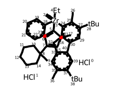 Cl.Cl.[CH2]=[Zr]([CH2]C)([C]1=CC(C2(C)CCCCC2)=CC1C)([c]1ccccc1)[c]1c(C)c(C(C)(C)C)cc2c1Cc1cc(C)c(C(C)(C)C)cc1-2